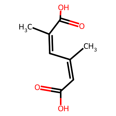 CC(=C/C(C)=C\C(=O)O)C(=O)O